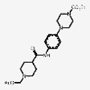 CCOC(=O)N1CCN(c2ccc(NC(=O)C3CCN(COC(C)=O)CC3)cc2)CC1